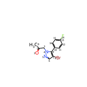 CC(=O)Cn1ncc(Br)c1-c1ccc(F)cc1